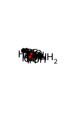 CC(C)OC(=O)[C@H](C)NP(=S)(OC[C@@]1(C(F)F)O[C@@H](n2ccc(N)nc2=O)[C@H](O)[C@H]1O)Oc1ccc2ccccc2c1